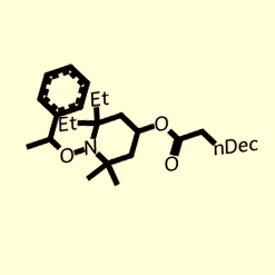 CCCCCCCCCCCC(=O)OC1CC(C)(C)N(OC(C)c2ccccc2)C(CC)(CC)C1